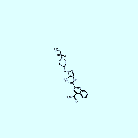 CCS(=O)(=O)N1CCC(Cn2ncc(NC(=O)c3cc(C(N)=O)c4ccccc4n3)c2C)CC1